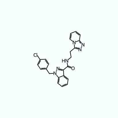 O=C(NCCc1nnc2ccccn12)c1nn(Cc2ccc(Cl)cc2)c2ccccc12